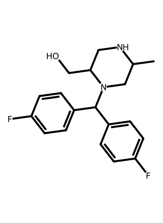 CC1CN(C(c2ccc(F)cc2)c2ccc(F)cc2)C(CO)CN1